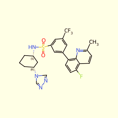 Cc1ccc2c(F)ccc(-c3cc(C(F)(F)F)cc(S(=O)(=O)N[C@H]4CCC[C@@H](n5cnnc5)C4)c3)c2n1